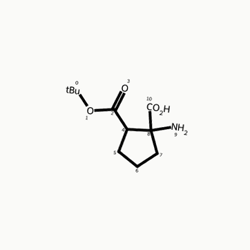 CC(C)(C)OC(=O)C1CCCC1(N)C(=O)O